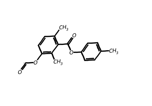 Cc1ccc(OC(=O)c2c(C)ccc(O[C]=O)c2C)cc1